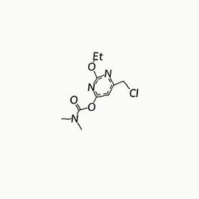 CCOc1nc(CCl)cc(OC(=O)N(C)C)n1